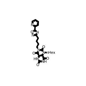 CCCCCCn1c(=O)n(CCCCc2noc(-c3ccccn3)n2)c(=O)c2[nH]c(=O)[nH]c(=O)c21